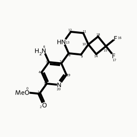 COC(=O)c1cc(N)c(C2CC3(CCN2)CC(F)(F)C3)cn1